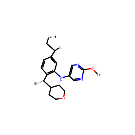 CCOc1ncc(Nc2cc(C(CC)CC(=O)O)ccc2[C@@H](CC)C2CCOCC2)cn1